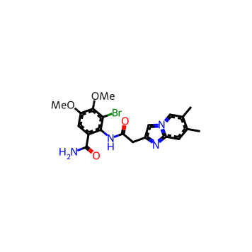 COc1cc(C(N)=O)c(NC(=O)Cc2cn3cc(C)c(C)cc3n2)c(Br)c1OC